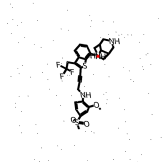 COc1cc(S(C)(=O)=O)ccc1NCC#Cc1sc2c(NC3C4CNCC3CNC4)cccc2c1CC(F)(F)F